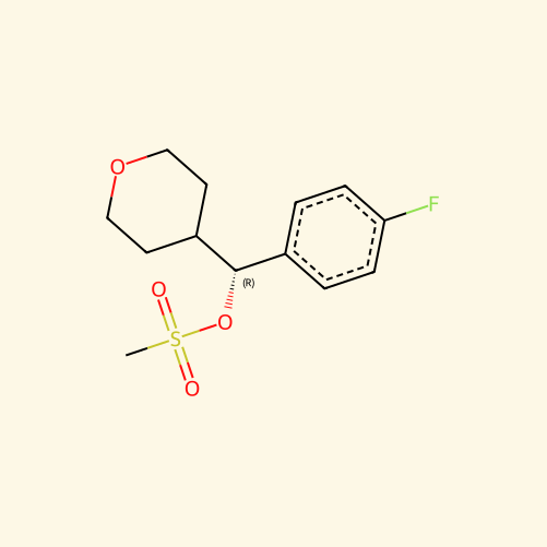 CS(=O)(=O)O[C@@H](c1ccc(F)cc1)C1CCOCC1